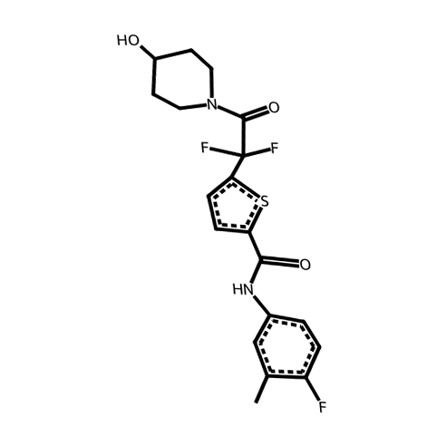 Cc1cc(NC(=O)c2ccc(C(F)(F)C(=O)N3CCC(O)CC3)s2)ccc1F